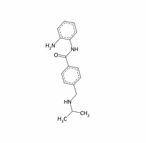 CC(C)NCc1ccc(C(=O)Nc2ccccc2N)cc1